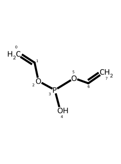 C=COP(O)OC=C